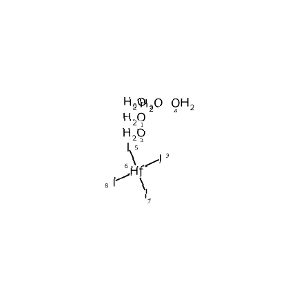 O.O.O.O.O.[I][Hf]([I])([I])[I]